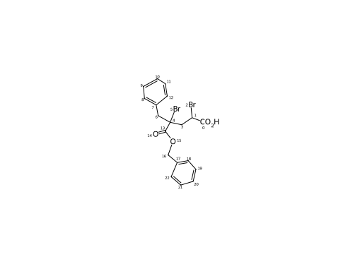 O=C(O)C(Br)CC(Br)(Cc1ccccc1)C(=O)OCc1ccccc1